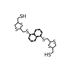 SCC1CSC(CSc2cccc3c(SCC4SCC(CS)S4)cccc23)S1